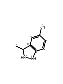 CC1NNc2ccc(C#N)cc21